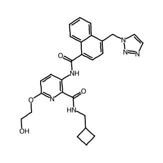 O=C(NCC1CCC1)c1nc(OCCO)ccc1NC(=O)c1ccc(Cn2ccnn2)c2ccccc12